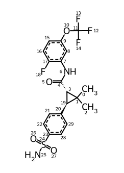 CC1(C)[C@@H](C(=O)Nc2cc(OC(F)(F)F)ccc2F)[C@@H]1c1ccc(S(N)(=O)=O)cc1